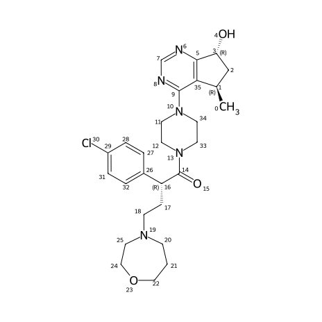 C[C@@H]1C[C@@H](O)c2ncnc(N3CCN(C(=O)[C@H](CCN4CCCOCC4)c4ccc(Cl)cc4)CC3)c21